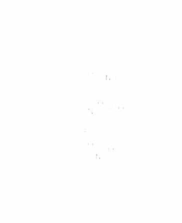 CC(=O)NCCS(=O)(=O)c1c(F)c(F)c(S(N)(=O)=O)c(F)c1NC1CCCCCCC1